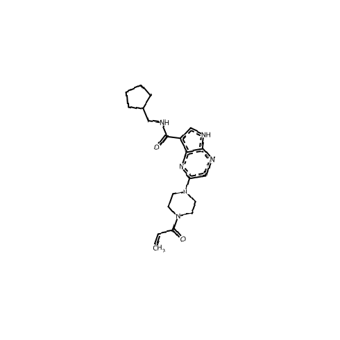 C=CC(=O)N1CCN(c2cnc3[nH]cc(C(=O)NCC4CCCC4)c3n2)CC1